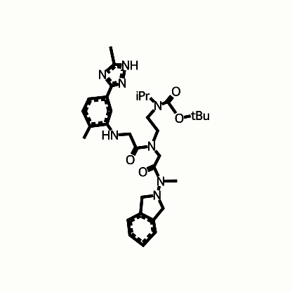 Cc1nc(-c2ccc(C)c(NCC(=O)N(CCN(C(=O)OC(C)(C)C)C(C)C)CC(=O)N(C)N3Cc4ccccc4C3)c2)n[nH]1